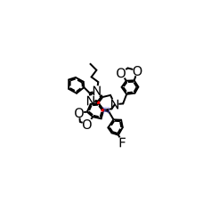 CCCCn1c(-c2ccccc2)nc(/C=C/c2ccc(F)cc2)c1CN(Cc1ccc2c(c1)OCO2)Cc1ccc2c(c1)OCO2